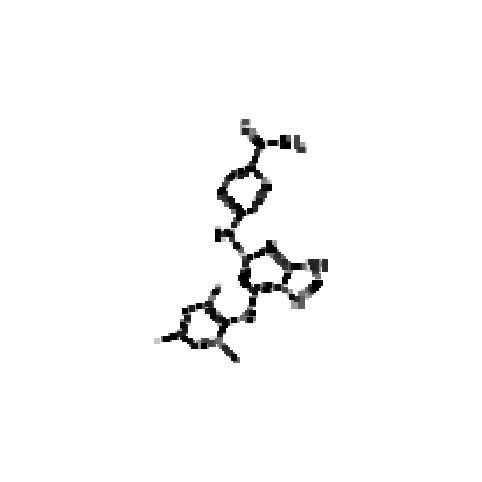 Cc1cc(C)c(Oc2nc(Nc3ccc(C(N)=O)cc3)nc3[nH]cnc23)c(C)c1